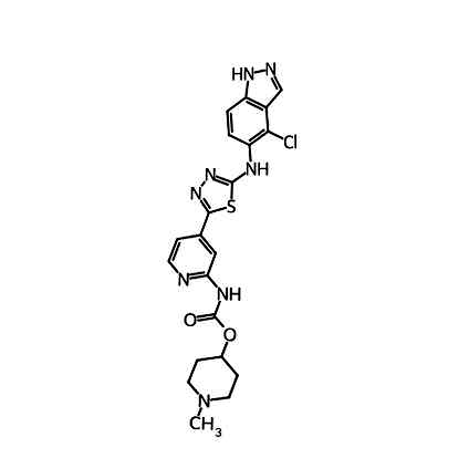 CN1CCC(OC(=O)Nc2cc(-c3nnc(Nc4ccc5[nH]ncc5c4Cl)s3)ccn2)CC1